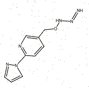 N=NNOCc1ccc(-n2cccn2)nc1